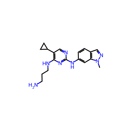 Cn1ncc2ccc(Nc3ncc(C4CC4)c(NCCCN)n3)cc21